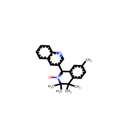 Cc1ccc2c(c1)C(c1cnc3ccccc3c1)=[N+]([O-])C(C)(C)C2(C)C